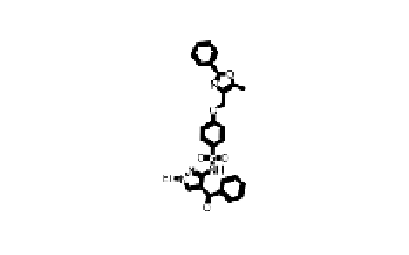 CCn1cc(C(=O)c2ccccc2)c(NS(=O)(=O)c2ccc(OCc3nc(-c4ccccc4)oc3C)cc2)n1